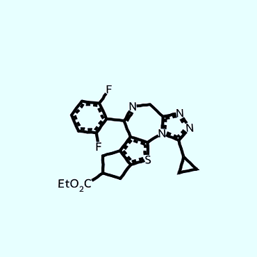 CCOC(=O)C1Cc2sc3c(c2C1)C(c1c(F)cccc1F)=NCc1nnc(C2CC2)n1-3